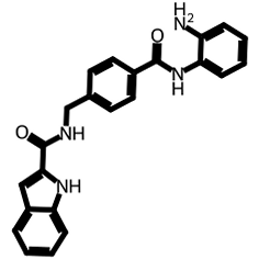 Nc1ccccc1NC(=O)c1ccc(CNC(=O)c2cc3ccccc3[nH]2)cc1